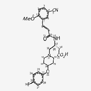 COc1ccc(C#N)cc1C=CC(=O)N[C@H](CC(=O)O)CN1CCC(Oc2ccc(F)cc2)CC1